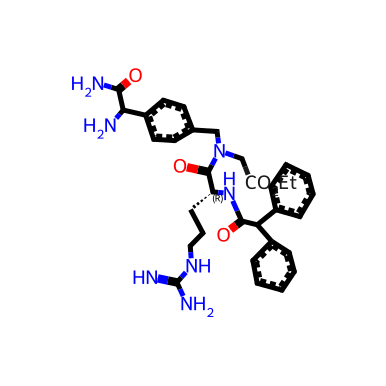 CCOC(=O)CN(Cc1ccc(C(N)C(N)=O)cc1)C(=O)[C@@H](CCCNC(=N)N)NC(=O)C(c1ccccc1)c1ccccc1